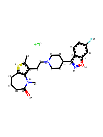 Cc1sc2c(c1CCN1CCC(c3noc4cc(F)ccc34)CC1)N(C)C(=O)CCC2.Cl